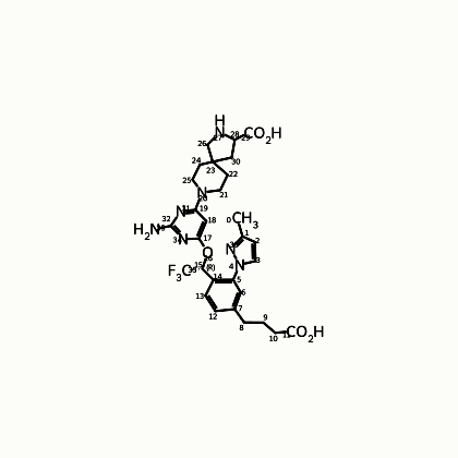 Cc1ccn(-c2cc(CCCC(=O)O)ccc2[C@@H](Oc2cc(N3CCC4(CC3)CNC(C(=O)O)C4)nc(N)n2)C(F)(F)F)n1